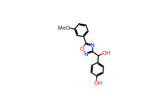 COc1cccc(-c2nc(C(O)c3ccc(O)cc3)no2)c1